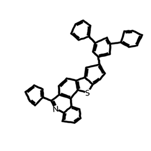 c1ccc(-c2cc(-c3ccccc3)cc(-c3ccc4sc5c(ccc6c(-c7ccccc7)nc7ccccc7c65)c4c3)c2)cc1